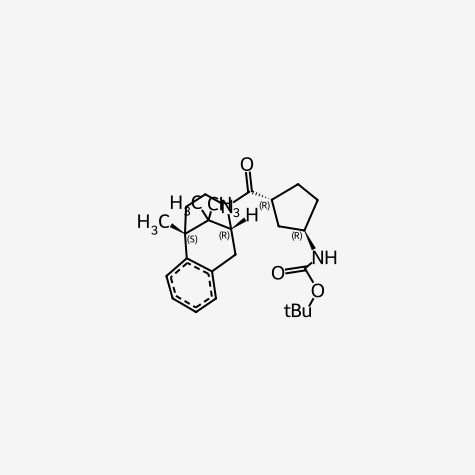 CC(C)(C)OC(=O)N[C@@H]1CC[C@@H](C(=O)N2CC[C@@]3(C)c4ccccc4C[C@@H]2C3(C)C)C1